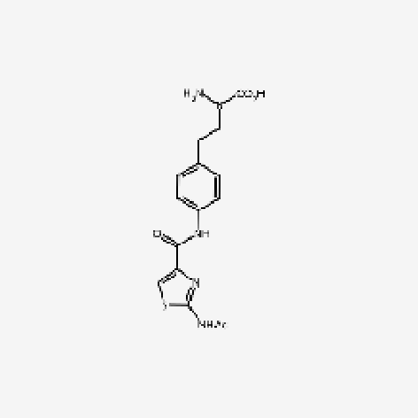 CC(=O)Nc1nc(C(=O)Nc2ccc(CCN(N)C(=O)O)cc2)cs1